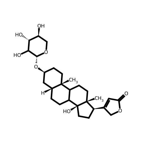 C[C@]12CC[C@H](O[C@H]3OC[C@H](O)[C@@H](O)C3O)C[C@H]1CCC1C2CC[C@]2(C)[C@@H](C3=CC(=O)OC3)CC[C@]12O